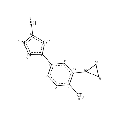 FC(F)(F)c1ccc(-c2nnc(S)o2)cc1C1CC1